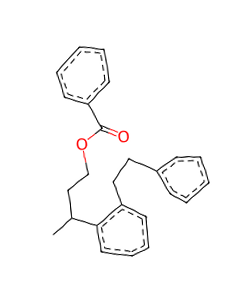 CC(CCOC(=O)c1ccccc1)c1ccccc1CCc1ccccc1